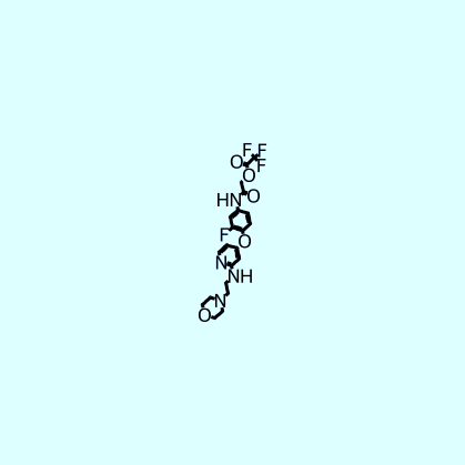 O=C(COC(=O)C(F)(F)F)Nc1ccc(Oc2ccnc(NCCN3CCOCC3)c2)c(F)c1